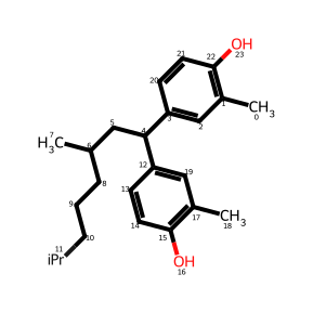 Cc1cc(C(CC(C)CCCC(C)C)c2ccc(O)c(C)c2)ccc1O